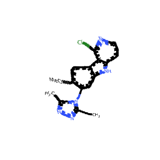 COc1cc2c(cc1-n1c(C)nnc1C)[nH]c1ccnc(Cl)c12